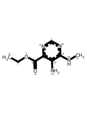 CCOC(=O)c1ncnc(NC)c1N